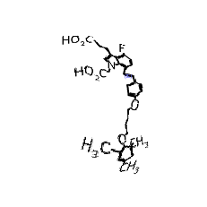 Cc1cc(C)c(OCCCCOc2ccc(/C=C/c3ccc(F)c4c(CCCC(=O)O)cn(CC(=O)O)c34)cc2)c(C)c1